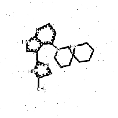 Cc1cnc(-c2c[nH]c3nccc(N4CCCC5(CCCCN5)C4)c23)[nH]1